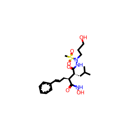 CC(C)C[C@@H](C(=O)NN(CCCO)S(C)(=O)=O)[C@H](CC=Cc1ccccc1)C(=O)NO